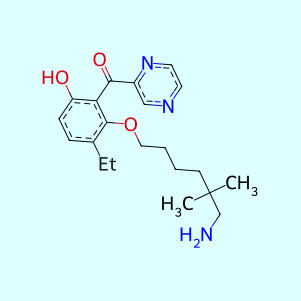 CCc1ccc(O)c(C(=O)c2cnccn2)c1OCCCCC(C)(C)CN